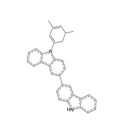 CC1=CC(C)CC(n2c3ccccc3c3cc(-c4ccc5[nH]c6ccccc6c5c4)ccc32)=C1